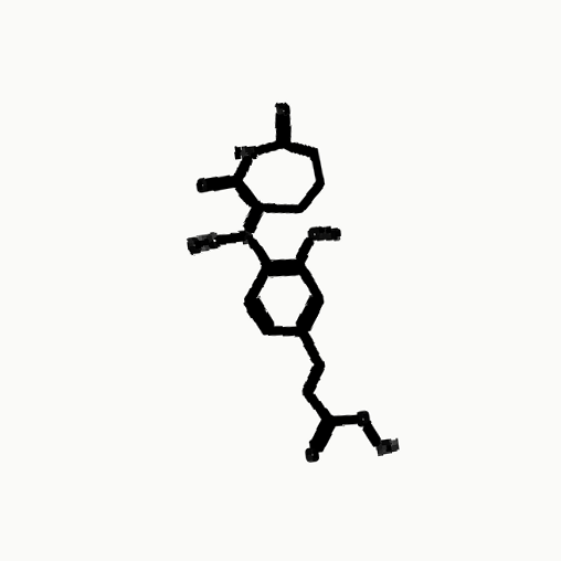 COc1cc(CCC(=O)OC(C)(C)C)ccc1N(C=O)C1CCCC(=O)NC1=O